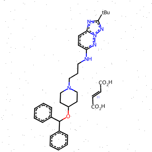 CC(C)(C)c1nc2ccc(NCCCN3CCC(OC(c4ccccc4)c4ccccc4)CC3)nn2n1.O=C(O)/C=C/C(=O)O